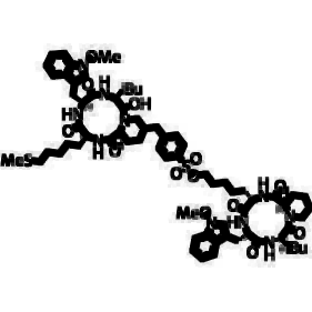 CCC(C)[C@@H]1NC(=O)[C@H](Cc2cn(OC)c3ccccc23)NC(=O)[C@H](CCCCCSC)NC(=O)[C@H]2CCC(Cc3ccc(S(=O)(=O)OCCCCC[C@@H]4NC(=O)[C@H]5CCCCN5C(=O)[C@H]([C@H](C)CC)NC(=O)[C@H](Cc5cn(OC)c6ccccc56)NC4=O)cc3)CN2C1O